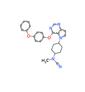 CN(C#N)C1CCC(n2ccc3ncnc(Oc4ccc(Oc5ccccc5)cc4)c32)CC1